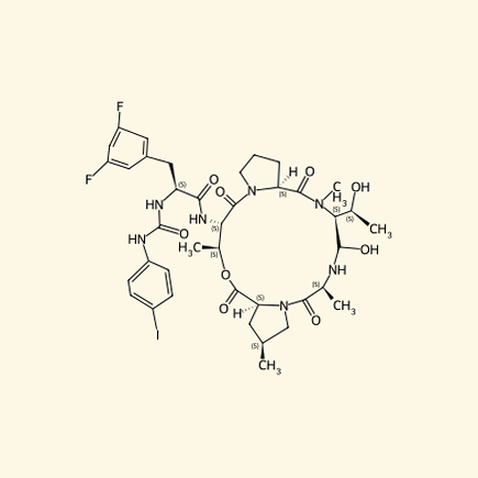 C[C@H]1C[C@H]2C(=O)O[C@@H](C)[C@H](NC(=O)[C@H](Cc3cc(F)cc(F)c3)NC(=O)Nc3ccc(I)cc3)C(=O)N3CCC[C@H]3C(=O)N(C)[C@@H]([C@H](C)O)C(O)N[C@@H](C)C(=O)N2C1